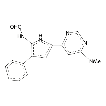 CNc1cc(-c2cc(-c3ccccc3)c(NC=O)[nH]2)ncn1